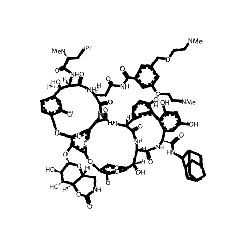 CNCCOCc1cc(OCCNC)cc(C(=O)NC(=O)C[C@@H]2NC(=O)[C@H](NC(=O)[C@@H](CC(C)C)NC)[C@H](O)c3ccc(c(Cl)c3)Oc3cc4cc(c3O[C@@H]3O[C@@H]5CNC(=O)O[C@H]5[C@H](O)[C@H]3O)Oc3ccc(cc3Cl)[C@@H](O)[C@@H]3NC(=O)[C@H](NC(=O)[C@@H]4NC2=O)c2ccc(O)c(c2)-c2c(O)cc(O)cc2[C@@H](C(=O)NC2C4CC5CC(C4)CC2C5)NC3=O)c1